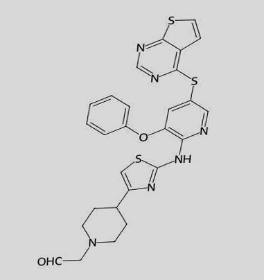 O=CCN1CCC(c2csc(Nc3ncc(Sc4ncnc5sccc45)cc3Oc3ccccc3)n2)CC1